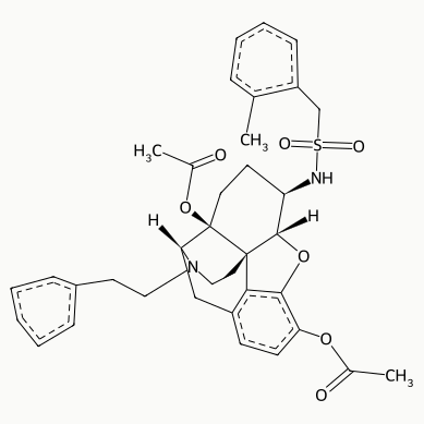 CC(=O)Oc1ccc2c3c1O[C@H]1[C@H](NS(=O)(=O)Cc4ccccc4C)CC[C@@]4(OC(C)=O)[C@@H](C2)N(CCc2ccccc2)CC[C@]314